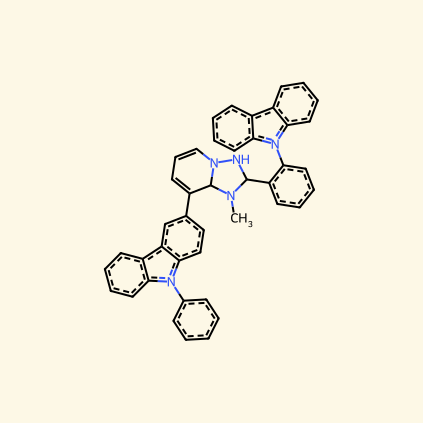 CN1C(c2ccccc2-n2c3ccccc3c3ccccc32)NN2C=CC=C(c3ccc4c(c3)c3ccccc3n4-c3ccccc3)C21